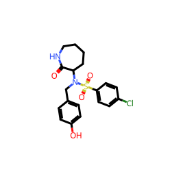 O=C1NCCCCC1N(Cc1ccc(O)cc1)S(=O)(=O)c1ccc(Cl)cc1